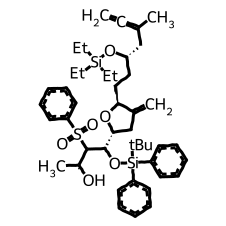 C=C=C(C)C[C@H](CC[C@@H]1O[C@@H](C(O[Si](c2ccccc2)(c2ccccc2)C(C)(C)C)C([C](C)O)S(=O)(=O)c2ccccc2)CC1=C)O[Si](CC)(CC)CC